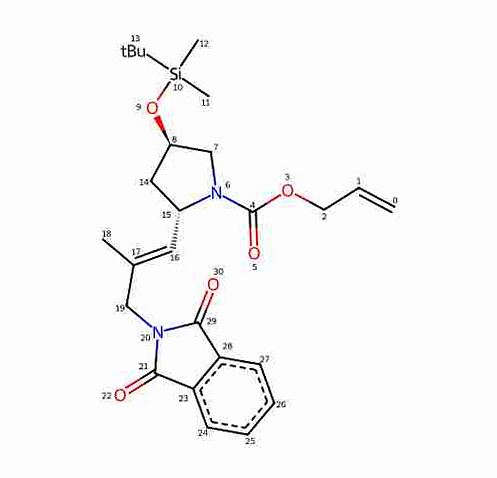 C=CCOC(=O)N1C[C@H](O[Si](C)(C)C(C)(C)C)C[C@H]1C=C(C)CN1C(=O)c2ccccc2C1=O